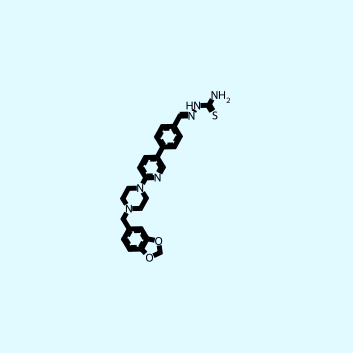 NC(=S)NN=Cc1ccc(-c2ccc(N3CCN(Cc4ccc5c(c4)OCO5)CC3)nc2)cc1